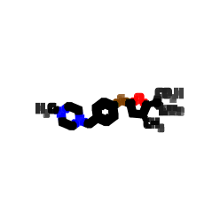 CNC(C(=O)O)[C@@H]1OC(Sc2ccc(CN3CCN(C)CC3)cc2)C[C@H]1C